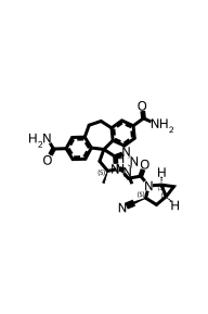 C[C@@H](CC1(c2nnn(C)n2)c2ccc(C(N)=O)cc2CCc2cc(C(N)=O)ccc21)NCC(=O)N1[C@H](C#N)C[C@@H]2C[C@@H]21